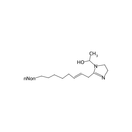 CCCCCCCCCCCCCCC=CCC1=NCCN1C(C)O